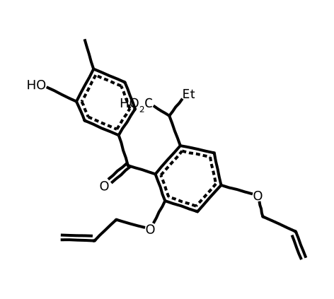 C=CCOc1cc(OCC=C)c(C(=O)c2ccc(C)c(O)c2)c(C(CC)C(=O)O)c1